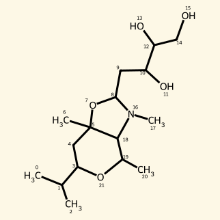 CC(C)C1CC2(C)OC(CC(O)C(O)CO)N(C)C2C(C)O1